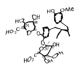 COc1cc(CC(C)C(C)Cc2ccc(O[C@H]3C[C@@H](O)[C@H](O)[C@@H](C(=O)O)O3)c(O[C@]3(C)O[C@H](C(=O)O)[C@@H](O)[C@H](O)[C@H]3O)c2)ccc1O